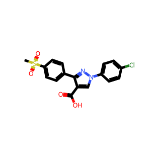 CS(=O)(=O)c1ccc(-c2nn(-c3ccc(Cl)cc3)cc2C(=O)O)cc1